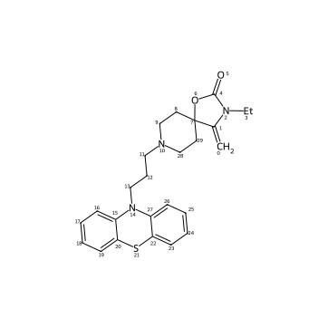 C=C1N(CC)C(=O)OC12CCN(CCCN1c3ccccc3Sc3ccccc31)CC2